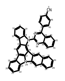 N#Cc1ccc(-c2nc(-n3c4ccccc4c4cc5c6ccccc6n6c7cc8ccccc8cc7c(c43)c56)nc3ccccc23)cc1